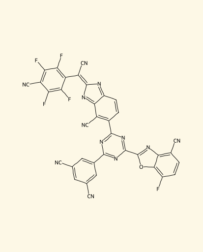 N#C/C(=C1\N=c2ccc(-c3nc(-c4cc(C#N)cc(C#N)c4)nc(-c4nc5c(C#N)ccc(F)c5o4)n3)c(C#N)c2=N1)c1c(F)c(F)c(C#N)c(F)c1F